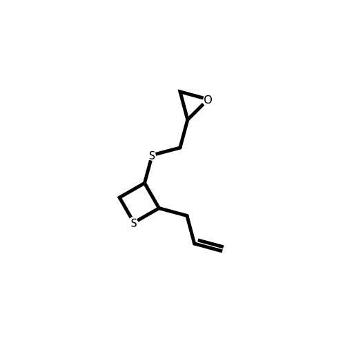 C=CCC1SCC1SCC1CO1